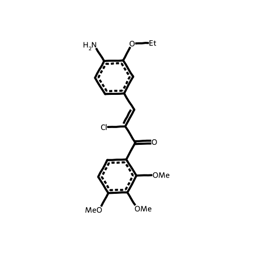 CCOc1cc(C=C(Cl)C(=O)c2ccc(OC)c(OC)c2OC)ccc1N